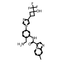 Cc1ccn2c(C(=O)Nc3cc(-n4cnc(C5CC(O)(C(F)(F)F)C5)c4)ccc3CN)cnc2c1